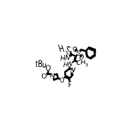 CC(=N)/C(=C(/C)Nc1cc(OC2CN(C(=O)OC(C)(C)C)C2)c(F)cn1)S(=O)(=O)Cc1ccccc1